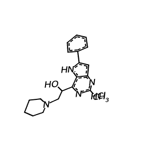 Cc1nc(C(O)CN2CCCCC2)c2[nH]c(-c3ccccc3)cc2n1.Cl